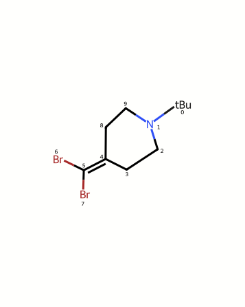 CC(C)(C)N1CCC(=C(Br)Br)CC1